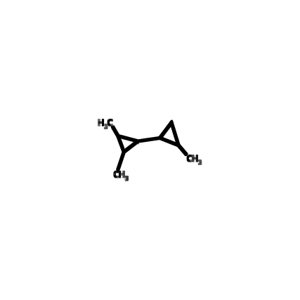 CC1CC1[C]1C(C)C1C